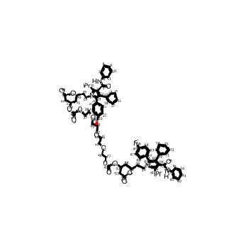 CC(C)c1c(C(=O)Nc2ccccc2)c(-c2ccccc2)c(-c2ccc(F)cc2)n1CCC1CC(OC(=O)OCCOCCOCCOCCOC(=O)OC2CC(=O)OC(CCn3c(-c4ccc(F)cc4)c(-c4ccccc4)c(C(=O)Nc4ccccc4)c3C(C)C)C2)CC(=O)O1